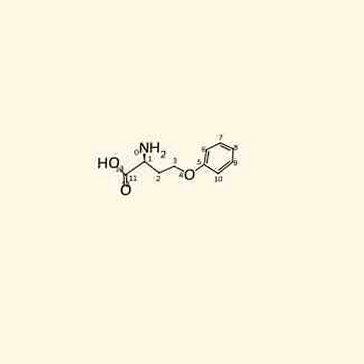 N[C@@H](CCOc1ccccc1)C(=O)O